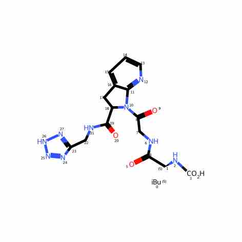 CC[C@H](C)[C@H](NC(=O)O)C(=O)NCC(=O)N1c2ncccc2CC1C(=O)NCc1nn[nH]n1